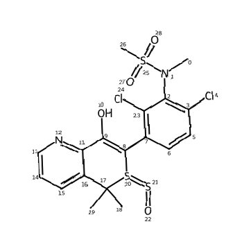 CN(c1c(Cl)ccc(C2=C(O)c3ncccc3C(C)(C)S2=S=O)c1Cl)S(C)(=O)=O